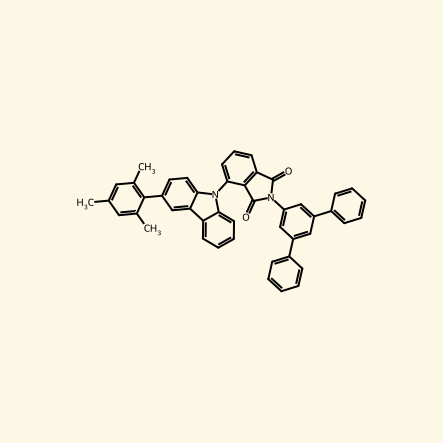 Cc1cc(C)c(-c2ccc3c(c2)c2ccccc2n3-c2cccc3c2C(=O)N(c2cc(-c4ccccc4)cc(-c4ccccc4)c2)C3=O)c(C)c1